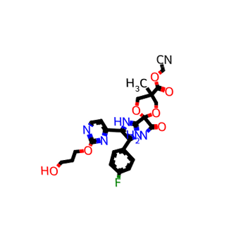 CC1(C(=O)OCC#N)COC(C(N)=O)(c2nc(-c3ccc(F)cc3)c(-c3ccnc(OCCCO)n3)[nH]2)OC1